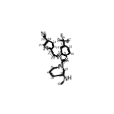 CN[C@H]1CCCN(c2nc3ccc(C(F)(F)F)cc3n2Cc2ccc(C#N)cn2)C1